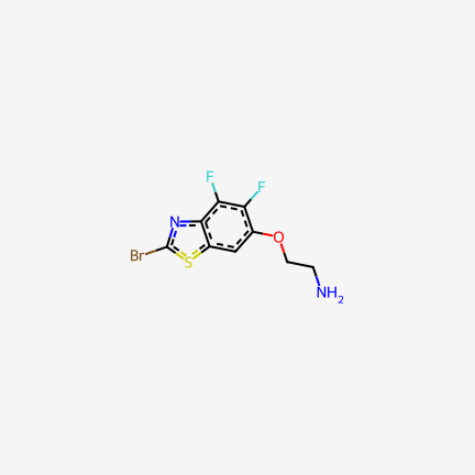 NCCOc1cc2sc(Br)nc2c(F)c1F